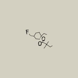 CCC1(OC(=O)C(C)(C)CC)CCC(CF)CC1